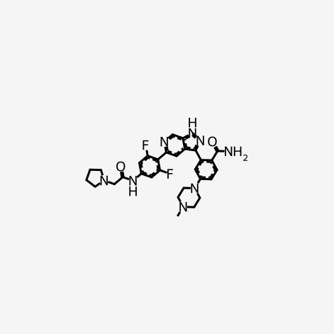 CN1CCN(c2ccc(C(N)=O)c(-c3n[nH]c4cnc(-c5c(F)cc(NC(=O)CN6CCCC6)cc5F)cc34)c2)CC1